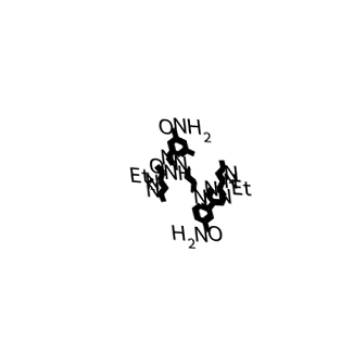 CCn1nc(C)cc1C(=O)Nc1nc2cc(C(N)=O)cc(C)c2n1CC=CCn1c2ccc(C(N)=O)cc2c2cnc(-c3cc(C)nn3CC)nc21